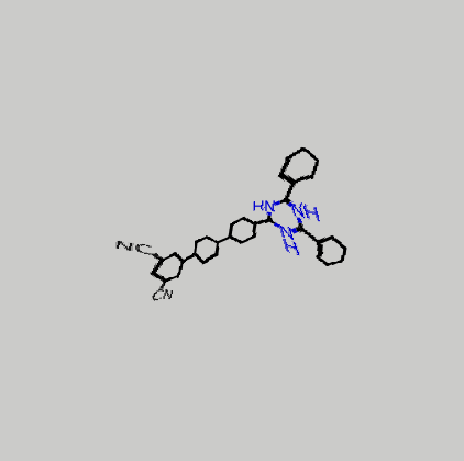 N#CC1CC(C#N)CC(C2CCC(C3CCC(C4NC(C5=CCCCC5)NC(C5CCCCC5)N4)CC3)CC2)C1